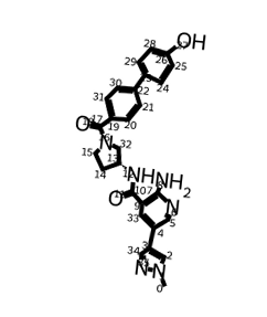 Cn1cc(-c2cnc(N)c(C(=O)N[C@@H]3CCN(C(=O)c4ccc(-c5ccc(O)cc5)cc4)C3)c2)cn1